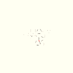 COc1cc(C(Cc2ccccc2)(NC(=O)NCC(F)(F)F)c2cc(F)cc(C(F)(F)F)c2)ccc1F